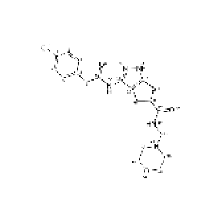 O=C(Cc1ccc(Cl)cc1)Nc1n[nH]c2sc(C(=O)NCN3CCOCC3)cc12